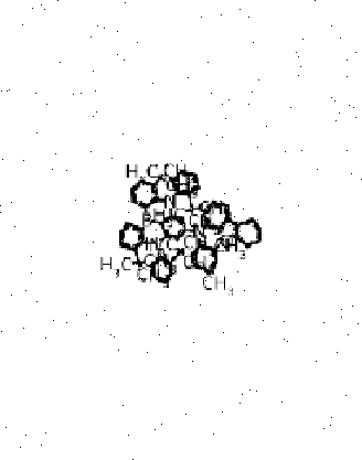 Cc1ccc(N(c2cc3c4c(c2)N(c2ccccc2C(C)(C)C)c2c(cccc2C(C)(C)C)B4c2cccc(C(C)(C)C)c2N3c2ccccc2C(C)(C)C)c2cccc3c2oc2ccccc23)c(C)c1